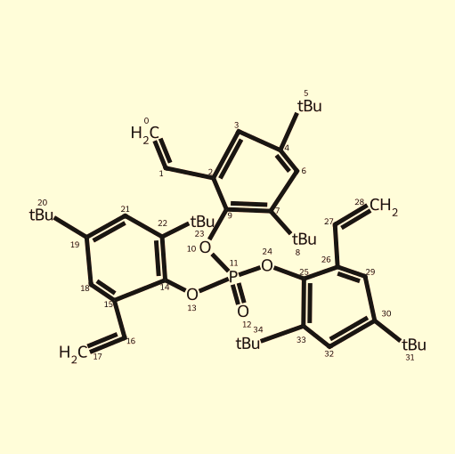 C=Cc1cc(C(C)(C)C)cc(C(C)(C)C)c1OP(=O)(Oc1c(C=C)cc(C(C)(C)C)cc1C(C)(C)C)Oc1c(C=C)cc(C(C)(C)C)cc1C(C)(C)C